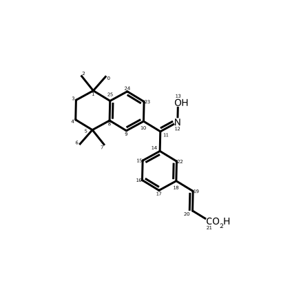 CC1(C)CCC(C)(C)c2cc(/C(=N\O)c3cccc(/C=C/C(=O)O)c3)ccc21